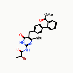 CCCCc1nc(NC(=O)C(C)Br)[nH]c(=O)c1Cc1ccc(-c2ccccc2C(=O)OC)cc1